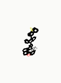 CC1(C)c2ccc(-c3c4ccccc4c(-c4ccc5sc6ccccc6c5c4)c4ccccc34)cc2-c2ccc3ccc4oc5ccccc5c4c3c21